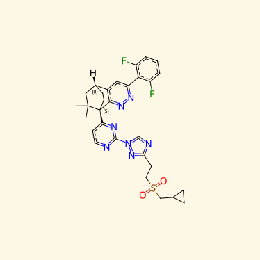 CC1(C)C[C@H]2CC[C@]1(c1ccnc(-n3cnc(CCS(=O)(=O)CC4CC4)n3)n1)c1nnc(-c3c(F)cccc3F)cc12